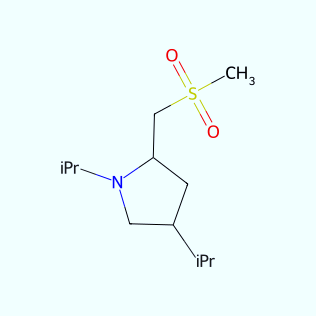 CC(C)C1CC(CS(C)(=O)=O)N(C(C)C)C1